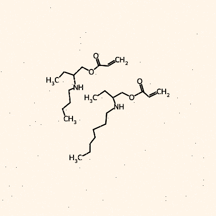 C=CC(=O)OCC(CC)NCCCC.C=CC(=O)OCC(CC)NCCCCCCC